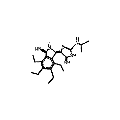 CCc1c(CC)c(CC)c2c(c1CC)C(=N)NC2=C1SC(NC(C)C)NC1=N